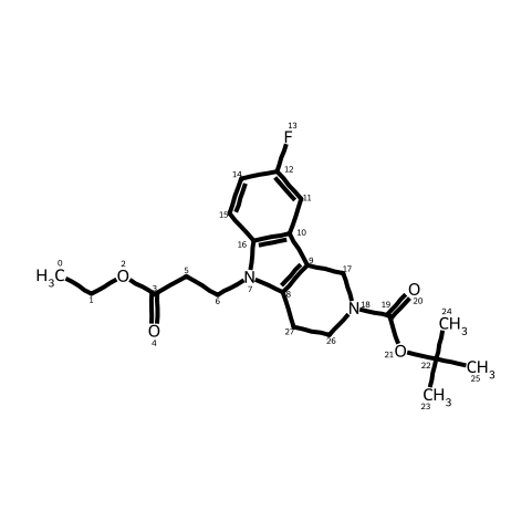 CCOC(=O)CCn1c2c(c3cc(F)ccc31)CN(C(=O)OC(C)(C)C)CC2